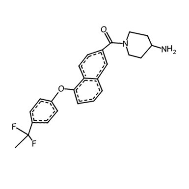 CC(F)(F)c1ccc(Oc2cccc3cc(C(=O)N4CCC(N)CC4)ccc23)cc1